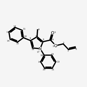 C=CCOC(=O)c1c(C)c(-c2ccccc2)cn1-c1ccccc1